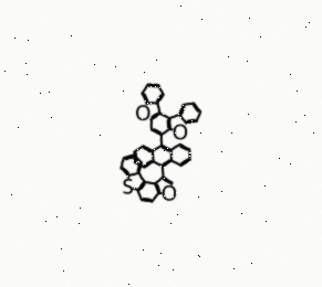 c1ccc2c(c1)oc1cc(-c3c4ccccc4c(-c4coc5ccc6sc7ccccc7c6c45)c4ccccc34)c3oc4ccccc4c3c12